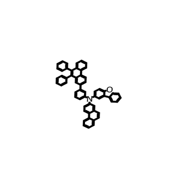 c1ccc(-c2c(-c3ccccc3)c3cc(-c4cccc(N(c5ccc6c(ccc7ccccc76)c5)c5ccc6oc7ccccc7c6c5)c4)ccc3c3ccccc23)cc1